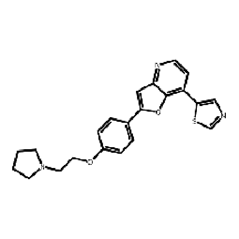 c1cc(-c2cncs2)c2oc(-c3ccc(OCCN4CCCC4)cc3)cc2n1